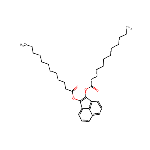 CCCCCCCCCCCC(=O)OC1=C(OC(=O)CCCCCCCCCCC)c2cccc3cccc1c23